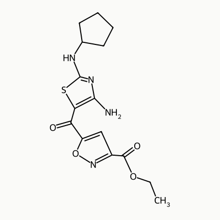 CCOC(=O)c1cc(C(=O)c2sc(NC3CCCC3)nc2N)on1